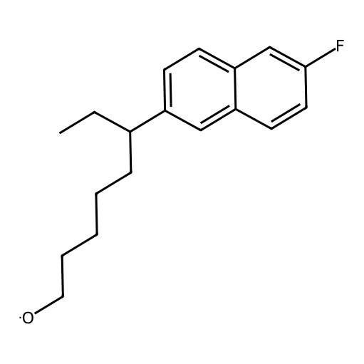 CCC(CCCCC[O])c1ccc2cc(F)ccc2c1